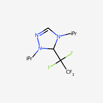 CC(C)N1C=NN(C(C)C)C1C(F)(F)C(F)(F)F